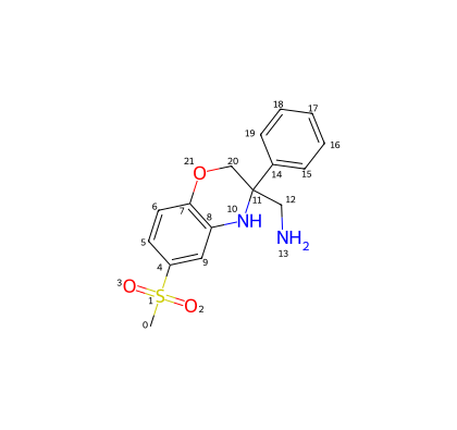 CS(=O)(=O)c1ccc2c(c1)NC(CN)(c1ccccc1)CO2